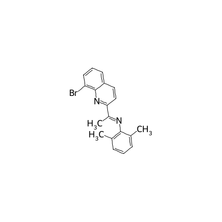 CC(=Nc1c(C)cccc1C)c1ccc2cccc(Br)c2n1